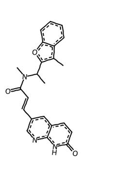 Cc1c(C(C)N(C)C(=O)C=Cc2cnc3[nH]c(=O)ccc3c2)oc2ccccc12